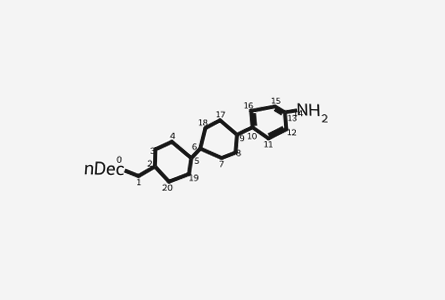 CCCCCCCCCCCC1CCC(C2CCC(c3ccc(N)cc3)CC2)CC1